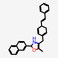 CC1=C(CC2=CCC(/C=C/c3ccccc3)C=C2)NC(c2ccc3ccccc3c2)O1